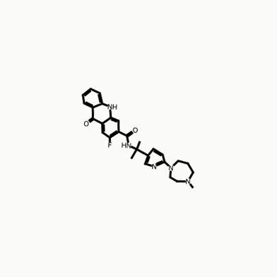 CN1CCCN(c2ccc(C(C)(C)NC(=O)c3cc4[nH]c5ccccc5c(=O)c4cc3F)cn2)CC1